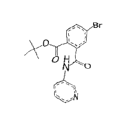 CC(C)(C)OC(=O)c1ccc(Br)cc1C(=O)Nc1cccnc1